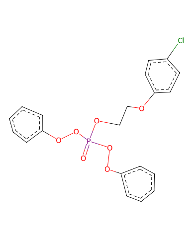 O=P(OCCOc1ccc(Cl)cc1)(OOc1ccccc1)OOc1ccccc1